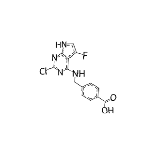 O=C(O)c1ccc(CNc2nc(Cl)nc3[nH]cc(F)c23)cc1